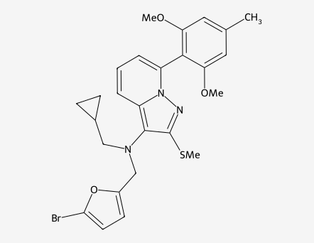 COc1cc(C)cc(OC)c1-c1cccc2c(N(Cc3ccc(Br)o3)CC3CC3)c(SC)nn12